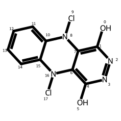 Oc1nnc(O)c2c1N(Cl)c1ccccc1N2Cl